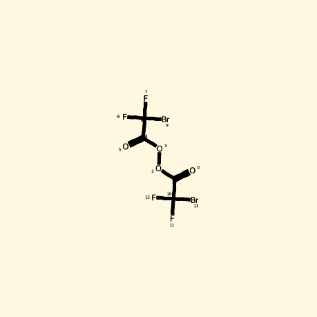 O=C(OOC(=O)C(F)(F)Br)C(F)(F)Br